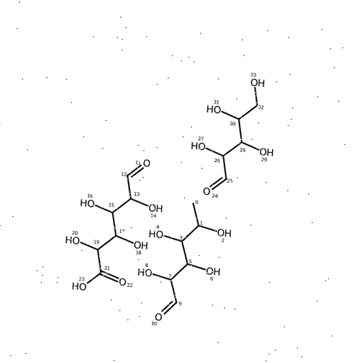 CC(O)C(O)C(O)C(O)C=O.O=CC(O)C(O)C(O)C(O)C(=O)O.O=CC(O)C(O)C(O)CO